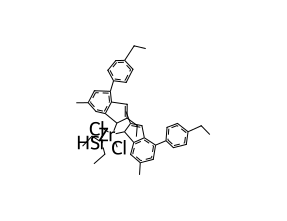 CCC1=Cc2c(-c3ccc(CC)cc3)cc(C)cc2[CH]1[Zr]([Cl])([Cl])([CH]1C(C)=Cc2c(-c3ccc(CC)cc3)cc(C)cc21)[SiH](CC)CC